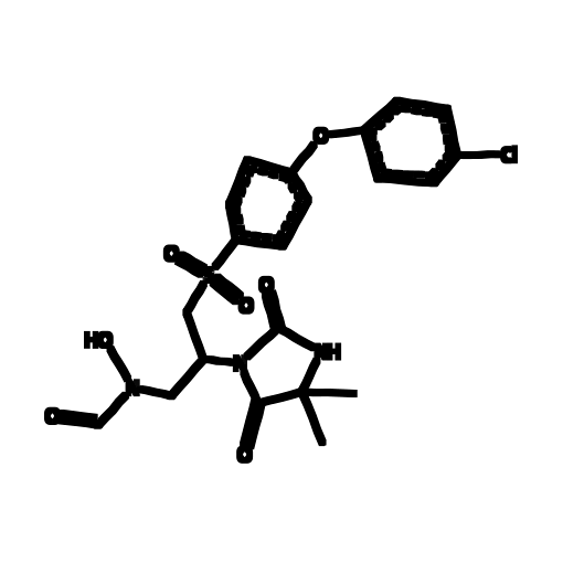 CC1(C)NC(=O)N(C(CN(O)C=O)CS(=O)(=O)c2ccc(Oc3ccc(Cl)cc3)cc2)C1=O